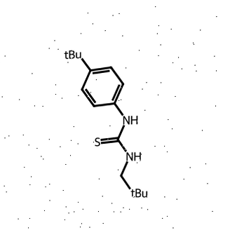 CC(C)(C)CNC(=S)Nc1ccc(C(C)(C)C)cc1